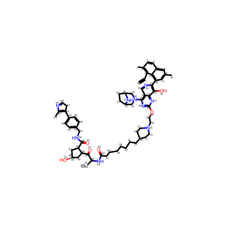 C#Cc1c(C)ccc2cc(C)cc(-c3ncc4c(N5CC6CCC(C5)N6)nc(OCCN5CCC(CCCCCCCC(=O)NC(C(=O)C6C[C@@H](O)CC6C(=O)NCc6ccc(C7=C(C)N=CC7)cc6)C(C)(C)C)CC5)nc4c3O)c12